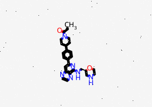 CCC(=O)N1CCC(c2ccc(-c3cc4nccnc4c(NC[C@@H]4CNCCO4)n3)cc2)CC1